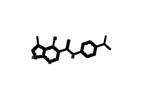 Cc1c[nH]c2ncc(C(=O)Nc3ccc(C(C)C)cc3)c(Cl)c12